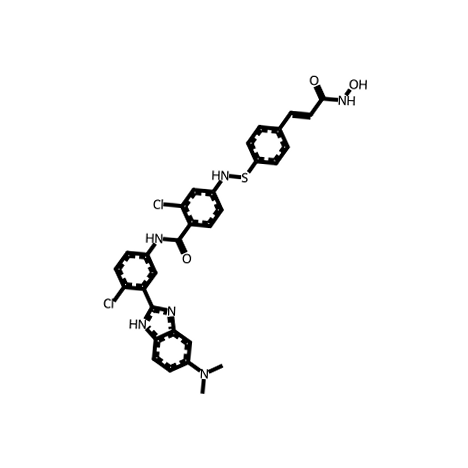 CN(C)c1ccc2[nH]c(-c3cc(NC(=O)c4ccc(NSc5ccc(/C=C/C(=O)NO)cc5)cc4Cl)ccc3Cl)nc2c1